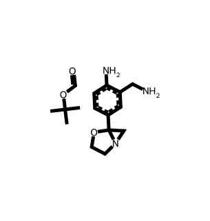 CC(C)(C)OC=O.NCc1cc(C23CN2CCO3)ccc1N